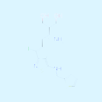 N[C@H](Cc1sc2c(NCc3cccs3)snc2c1Cl)C(CO)CO